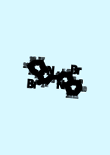 Brc1cc(-c2cc(Br)c3ccccc3n2)nc2ccccc12